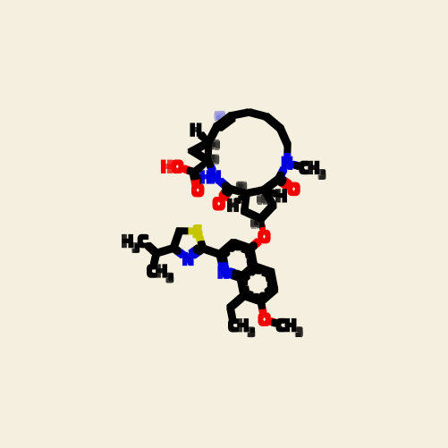 CCc1c(OC)ccc2c(O[C@@H]3C[C@H]4C(=O)N[C@]5(C(=O)O)C[C@@H]5/C=C\CCCCN(C)C(=O)[C@@H]4C3)cc(C3=NC(C(C)C)CS3)nc12